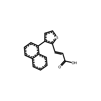 O=C(O)/C=C/c1sccc1-c1cccc2ccccc12